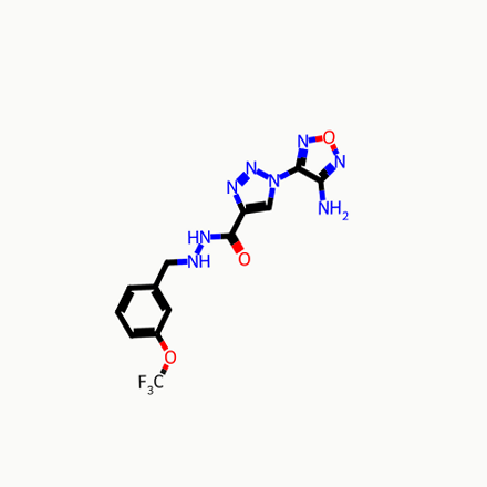 Nc1nonc1-n1cc(C(=O)NNCc2cccc(OC(F)(F)F)c2)nn1